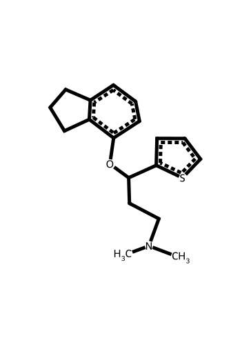 CN(C)CCC(Oc1cccc2c1CCC2)c1cccs1